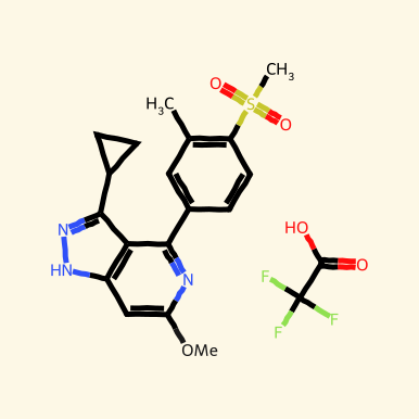 COc1cc2[nH]nc(C3CC3)c2c(-c2ccc(S(C)(=O)=O)c(C)c2)n1.O=C(O)C(F)(F)F